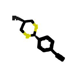 C#Cc1ccc([C@H]2SC[C@H](C(C)C)CS2)cc1